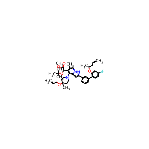 C=CCOC1(C)CCN(c2c([C@H](OC(C)(C)C)C(=O)OC)c(C)cn3nc(-c4cccc(-c5ccc(F)cc5O[C@@H](C)CC=C)c4)cc23)CC1